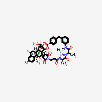 C[C@@H](NC(=O)CCN1C(=O)C=CC1=O)C(=O)N[C@H](C)C(=O)N(C)c1cccc(Cc2ccc([C@@H]3O[C@@H]4C[C@H]5[C@@H]6C[C@H](F)C7=CC(=O)C=C[C@]7(C)[C@@]6(F)[C@@H](O)C[C@]5(C)[C@]4(C(=O)CO)O3)cc2)c1